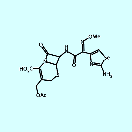 CON=C(C(=O)NC1C(=O)N2C(C(=O)O)=C(COC(C)=O)CSC12)c1c[se]c(N)n1